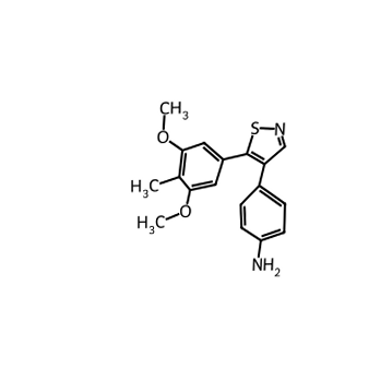 COc1cc(-c2sncc2-c2ccc(N)cc2)cc(OC)c1C